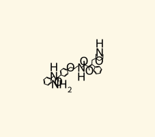 Nc1ccccc1NC(=O)c1ccc(OCCNC(=O)c2oc3ccccc3c2CC2CNCCO2)cc1